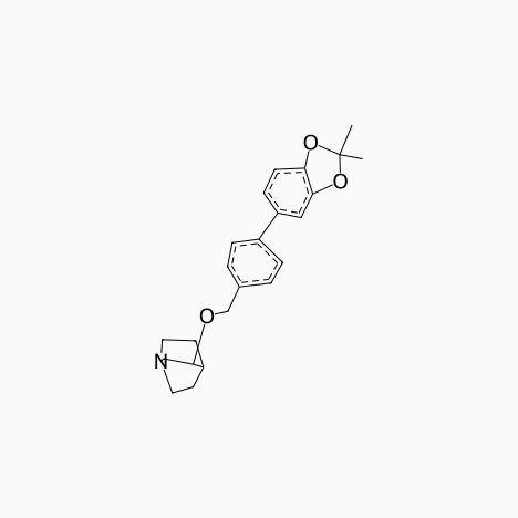 CC1(C)Oc2ccc(-c3ccc(COC4CN5CCC4CC5)cc3)cc2O1